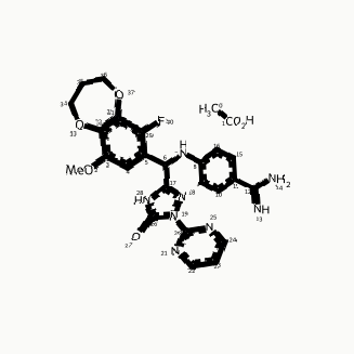 CC(=O)O.COc1cc(C(Nc2ccc(C(=N)N)cc2)c2nn(-c3ncccn3)c(=O)[nH]2)c(F)c2c1OCCCO2